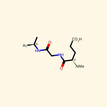 CN[C@@H](CCC(=O)O)C(=O)NCC(=O)N[C@H](C)C(C)=O